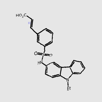 CCn1c2ccccc2c2cc(NS(=O)(=O)c3cccc(/C=C/C(=O)O)c3)ccc21